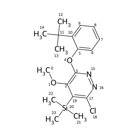 COc1c(Oc2ccccc2C(C)(C)C)nnc(Cl)c1[Si](C)(C)C